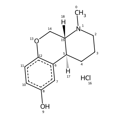 CN1CCC[C@H]2c3cc(O)ccc3OC[C@@H]21.Cl